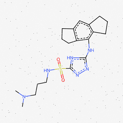 CN(C)CCCNS(=O)(=O)c1nnc(Nc2c3c(cc4c2CCC4)CCC3)[nH]1